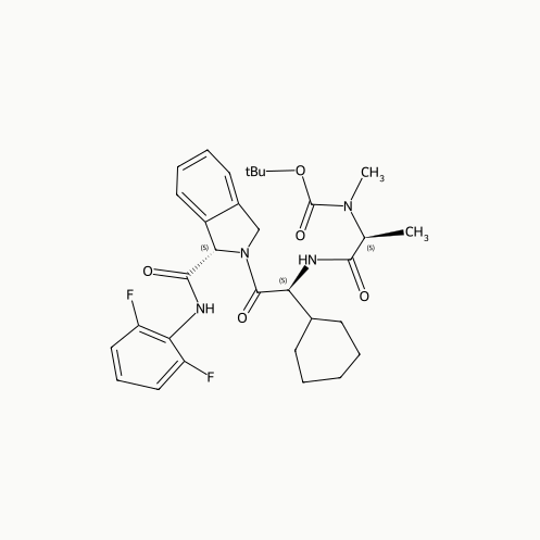 C[C@@H](C(=O)N[C@H](C(=O)N1Cc2ccccc2[C@H]1C(=O)Nc1c(F)cccc1F)C1CCCCC1)N(C)C(=O)OC(C)(C)C